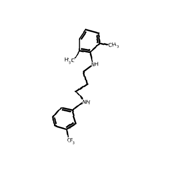 Cc1cccc(C)c1NCCCNc1cccc(C(F)(F)F)c1